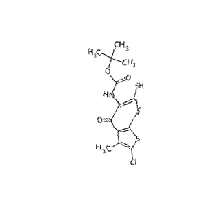 Cc1c(Cl)sc2sc(S)c(NC(=O)OC(C)(C)C)c(=O)c12